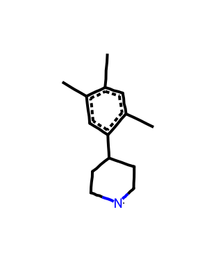 Cc1cc(C)c(C2CC[N]CC2)cc1C